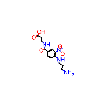 NCCCNc1ccc(C(=O)NCCC(=O)O)cc1[N+](=O)[O-]